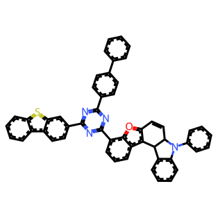 C1=CC2C(c3ccccc3N2c2ccccc2)c2c1oc1c(-c3nc(-c4ccc(-c5ccccc5)cc4)nc(-c4ccc5c(c4)sc4ccccc45)n3)cccc21